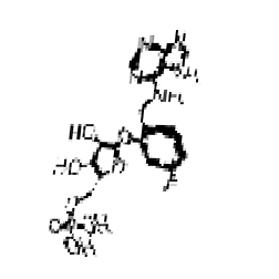 O=P(O)(O)OC[C@H]1OC(Oc2cc(F)ccc2CNc2ncnc3nc[nH]c23)[C@H](O)[C@@H]1O